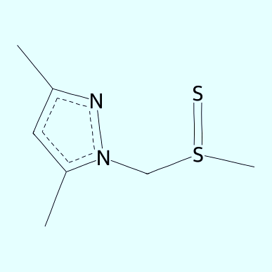 Cc1cc(C)n(CS(C)=S)n1